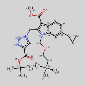 COC(=O)c1c(Cn2cc(C(=O)OC(C)(C)C)nn2)n(COCC[Si](C)(C)C)c2cc(C3CC3)ccc12